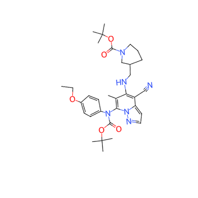 CCOc1ccc(N(C(=O)OC(C)(C)C)c2c(C)c(NCC3CCCN(C(=O)OC(C)(C)C)C3)c(C#N)c3ccnn23)cc1